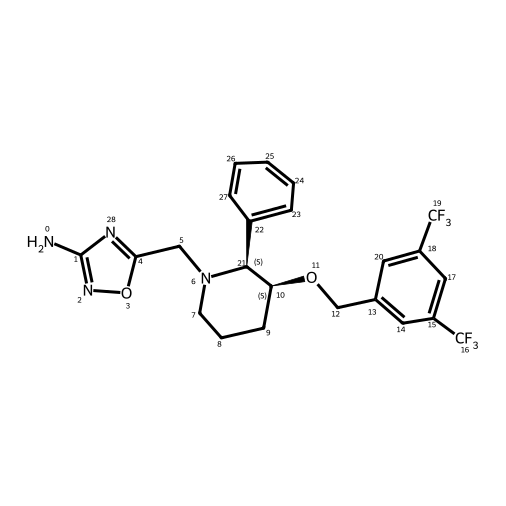 Nc1noc(CN2CCC[C@H](OCc3cc(C(F)(F)F)cc(C(F)(F)F)c3)[C@@H]2c2ccccc2)n1